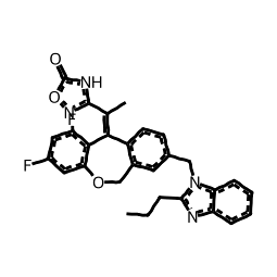 CCCc1nc2ccccc2n1Cc1ccc2c(c1)COc1cc(F)cc(F)c1/C2=C(/C)c1noc(=O)[nH]1